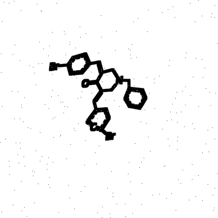 O=C1/C(=C\c2ccc(Br)cc2)CN(Cc2ccccc2)C/C1=C\c1ccc(Br)cc1